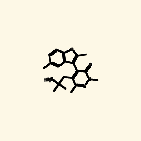 Cc1ccc2oc(C)c(-c3c(CC(C)(C)C(=O)O)c(C)nn(C)c3=O)c2c1